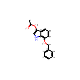 CC(=O)Oc1c[nH]c2c(OCc3ccccc3)cccc12